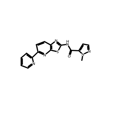 Cn1nccc1C(=O)Nc1nc2ccc(-c3ccccn3)nc2s1